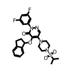 CC(C)S(=O)(=O)N1CCN(c2cnn(-c3cc(F)cc(F)c3)c(=O)c2OC2CCc3ccccc32)CC1